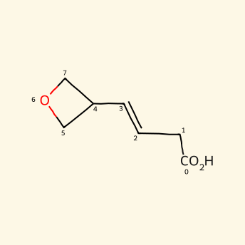 O=C(O)C/C=C/C1COC1